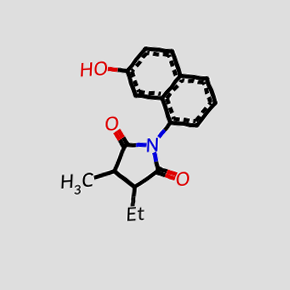 CCC1C(=O)N(c2cccc3ccc(O)cc23)C(=O)C1C